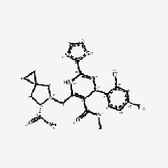 COC(=O)C1=C(CN2CC3(CC3)C[C@H]2C(=O)O)NC(c2nccs2)=NC1c1ccc(F)cc1Cl